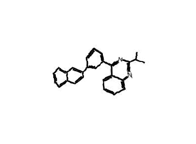 CC(C)c1nc(-c2cccc(-c3ccc4ccccc4c3)c2)c2ccccc2n1